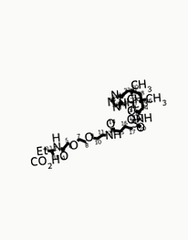 CCC(NC(=O)COCCOCCNC(=O)CCCS(=O)(=O)NC(=O)CC(C)(C)CC(C)(C)Cc1nnn[nH]1)C(=O)O